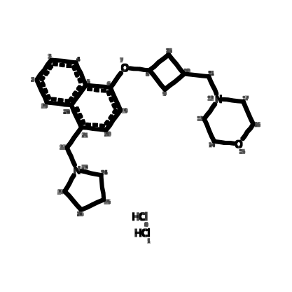 Cl.Cl.c1ccc2c(OC3CC(CN4CCOCC4)C3)ccc(CN3CCCC3)c2c1